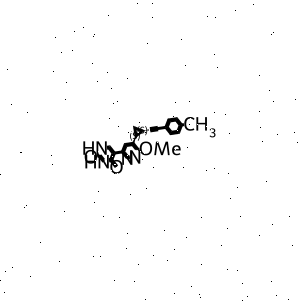 COc1nnc(-c2c[nH]c(=O)[nH]c2=O)cc1[C@H]1C[C@@H]1C#Cc1ccc(C)cc1